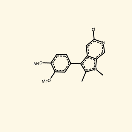 COc1ccc(-c2c(C)n(C)c3cnc(Cl)cc23)cc1OC